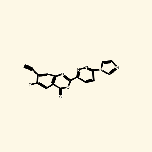 C#Cc1cc2nc(-c3ccc(-n4ccnc4)nn3)oc(=O)c2cc1F